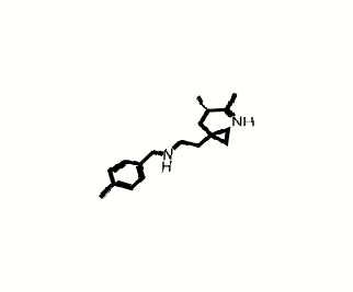 CC(=N)[C@H](C)CC1(CCNCc2ccc(C)cc2)CC1